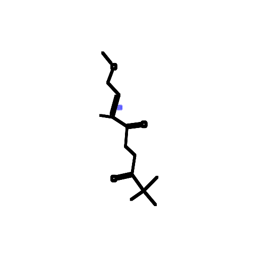 COC/C=C(\C)C(=O)CCC(=O)C(C)(C)C